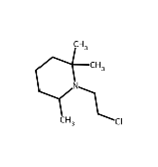 CC1CCCC(C)(C)N1CCCl